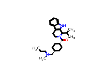 CCCN(C)C[C@H]1CC[C@H](C(=O)N2CCc3c([nH]c4ccccc34)C2C(C)C)CC1